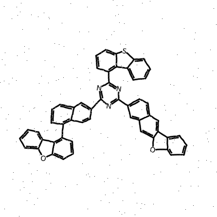 c1cc(-c2cccc3oc4ccccc4c23)c2ccc(-c3nc(-c4ccc5cc6c(cc5c4)oc4ccccc46)nc(-c4cccc5sc6ccccc6c45)n3)cc2c1